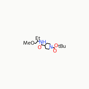 CCC(COC)NC(=O)C1CCN(C(=O)OC(C)(C)C)CC1